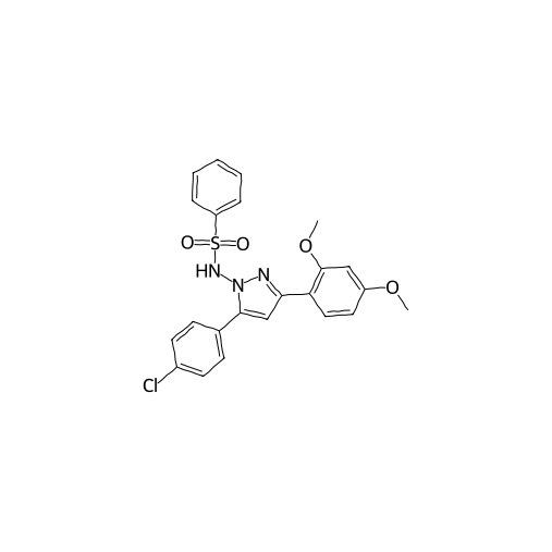 COc1ccc(-c2cc(-c3ccc(Cl)cc3)n(NS(=O)(=O)c3ccccc3)n2)c(OC)c1